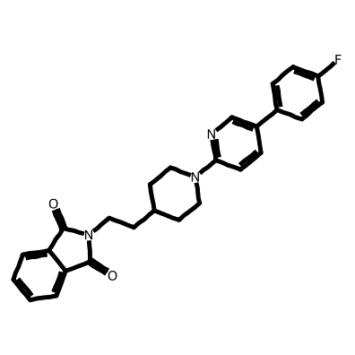 O=C1c2ccccc2C(=O)N1CCC1CCN(c2ccc(-c3ccc(F)cc3)cn2)CC1